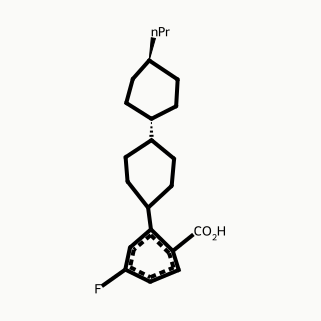 CCC[C@H]1CC[C@H](C2CCC(c3cc(F)ccc3C(=O)O)CC2)CC1